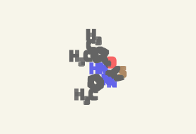 Cc1cccc(-n2nc3c(c2NC(=O)c2ccc(C)c(C)c2)CSC3)c1